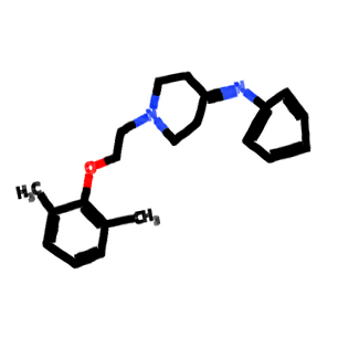 Cc1cccc(C)c1OCCN1CCC(=Nc2ccccc2)CC1